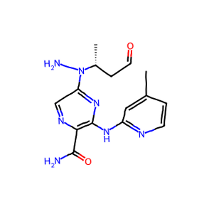 Cc1ccnc(Nc2nc(N(N)[C@H](C)CC=O)cnc2C(N)=O)c1